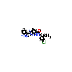 Cc1cc(Cl)ccc1CNC(=O)c1ccc2[nH]c(-c3n[nH]c4ccccc34)nc2c1